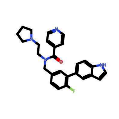 O=C(c1ccncc1)N(CCN1CCCC1)Cc1ccc(F)c(-c2ccc3[nH]ccc3c2)c1